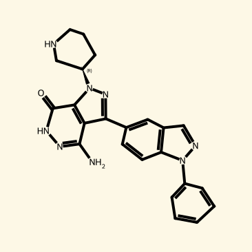 Nc1n[nH]c(=O)c2c1c(-c1ccc3c(cnn3-c3ccccc3)c1)nn2[C@@H]1CCCNC1